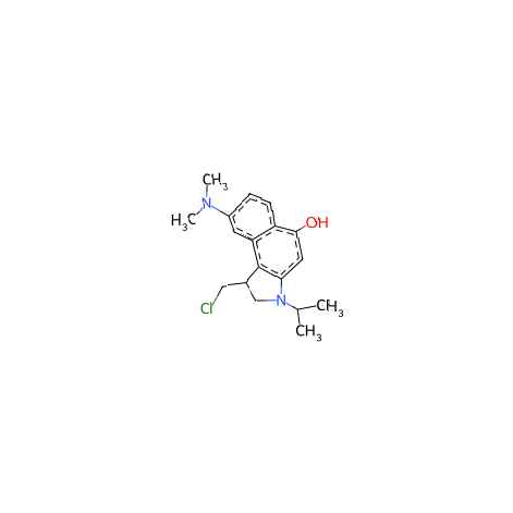 CC(C)N1CC(CCl)c2c1cc(O)c1ccc(N(C)C)cc21